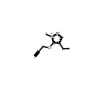 C#CCOc1c(CC)[c]nn1C